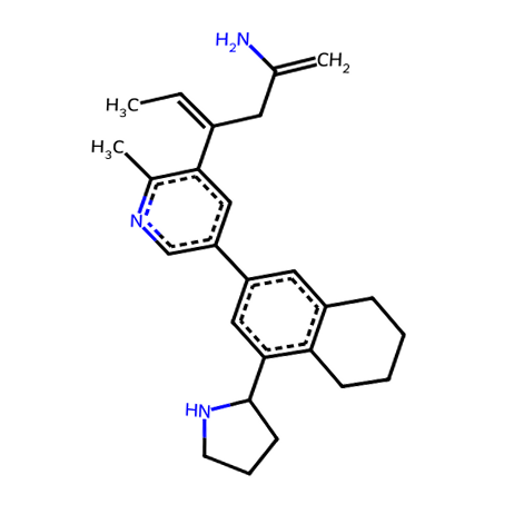 C=C(N)C/C(=C/C)c1cc(-c2cc3c(c(C4CCCN4)c2)CCCC3)cnc1C